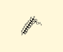 CC(=O)OC(I)(C(F)(F)F)C(F)(F)C(F)(F)C(F)(F)C(F)(F)C(F)(F)C(F)(F)F